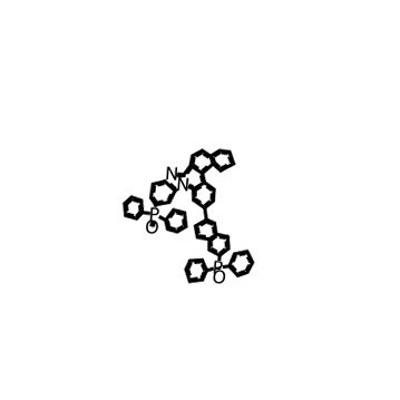 O=P(c1ccccc1)(c1ccccc1)c1ccc2cc(-c3ccc4c5c6ccccc6ccc5c5nc6ccc(P(=O)(c7ccccc7)c7ccccc7)cc6n5c4c3)ccc2c1